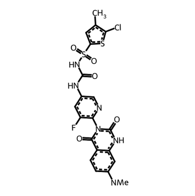 CNc1ccc2c(=O)n(-c3ncc(NC(=O)NS(=O)(=O)c4cc(C)c(Cl)s4)cc3F)c(=O)[nH]c2c1